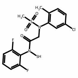 Cc1ccc(Cl)cc1N(CC(=O)N(S)c1c(F)cccc1F)S(C)(=O)=O